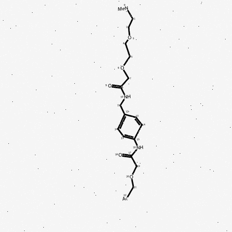 CNCCOCCOCC(=O)NCc1ccc(NC(=O)COCC(C)=O)cc1